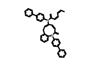 C=C(/C=C\C=C/C)N(C1=C/Cc2ccccc2N(c2ccc(-c3ccccc3)cc2)C(=C)/C=C\1)c1ccc(-c2ccccc2)cc1